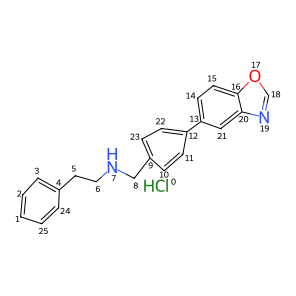 Cl.c1ccc(CCNCc2ccc(-c3ccc4ocnc4c3)cc2)cc1